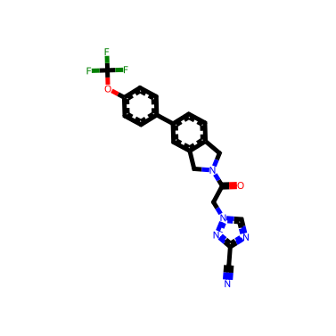 N#Cc1ncn(CC(=O)N2Cc3ccc(-c4ccc(OC(F)(F)F)cc4)cc3C2)n1